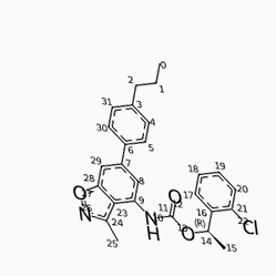 CCCc1ccc(-c2cc(NC(=O)O[C@H](C)c3ccccc3Cl)c3c(C)noc3c2)cc1